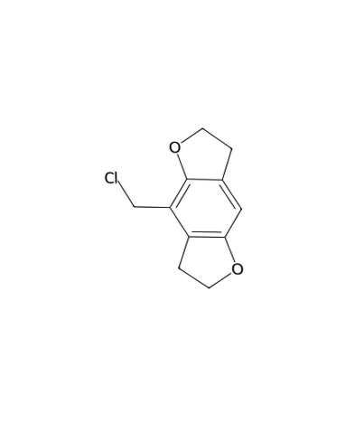 ClCc1c2c(cc3c1OCC3)OCC2